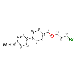 COc1ccc(C2CCC(COCCCBr)CC2)cc1